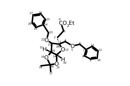 CCOC(=O)CC[C@]1(COCc2ccccc2)O[C@@H]2OC(C)(C)O[C@@H]2C1OCc1ccccc1